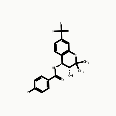 CC1(C)Oc2cc(C(F)(F)F)ccc2[C@H](NC(=O)c2ccc(F)cc2)[C@H]1O